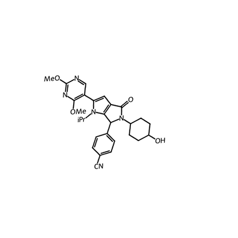 COc1ncc(-c2cc3c(n2C(C)C)C(c2ccc(C#N)cc2)N(C2CCC(O)CC2)C3=O)c(OC)n1